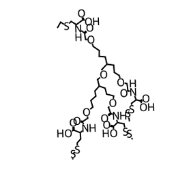 CCSCC(NC(=O)COCCCCC(CCCOCC(=O)NC(CSSC)C(=O)O)COCC(CCCCOCC(=O)NC(CCSSC)C(=O)O)CCCOCC(=O)NC(CSSC)C(=O)O)C(=O)O